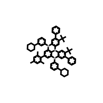 Cc1cc(C)c(-c2cc3c4c(c2)N(c2cccc(C5CCCCC5)c2)c2cc(-c5ccccc5)c(C(C)(C)C)cc2B4c2cc(C(C)(C)C)c(-c4ccccc4)cc2N3c2cccc(C3CCCCC3)c2)c(C)c1